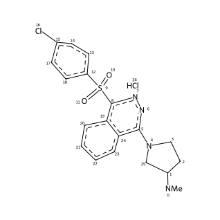 CNC1CCN(c2nnc(S(=O)(=O)c3ccc(Cl)cc3)c3ccccc23)C1.Cl